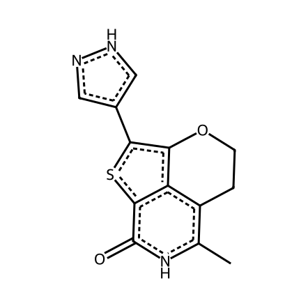 Cc1[nH]c(=O)c2sc(-c3cn[nH]c3)c3c2c1CCO3